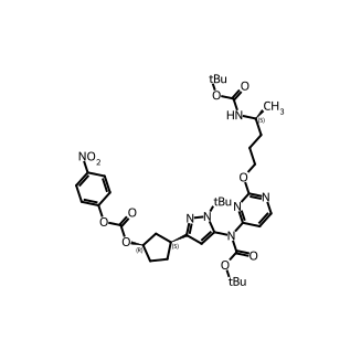 C[C@@H](CCCOc1nccc(N(C(=O)OC(C)(C)C)c2cc([C@H]3CC[C@@H](OC(=O)Oc4ccc([N+](=O)[O-])cc4)C3)nn2C(C)(C)C)n1)NC(=O)OC(C)(C)C